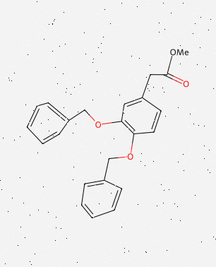 COC(=O)Cc1ccc(OCc2ccccc2)c(OCc2ccccc2)c1